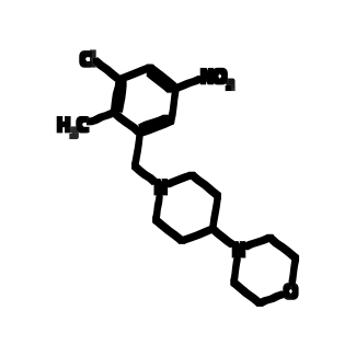 Cc1c(Cl)cc([N+](=O)[O-])cc1CN1CCC(N2CCOCC2)CC1